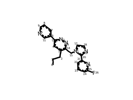 CCCc1cc(-c2cccnc2)nnc1Cn1ccnc1-c1cccc(F)n1